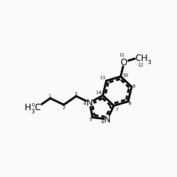 CCCCn1cnc2ccc(OC)cc21